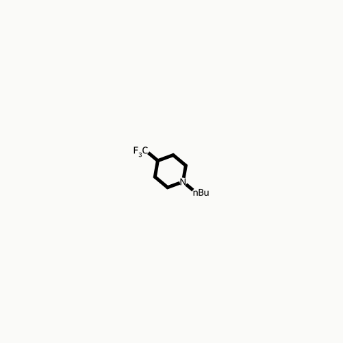 CCCCN1CCC(C(F)(F)F)CC1